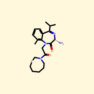 Cc1cccc2c1N(CC(=O)N1CCCCCCC1)C(=O)[C@@H](N)N=C2C(C)C